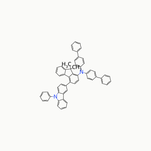 CC1(C)c2ccccc2-c2c(-c3ccc4c(c3)c3ccccc3n4-c3ccccc3)ccc(N(c3ccc(-c4ccccc4)cc3)c3ccc(-c4ccccc4)cc3)c21